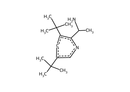 CC(N)c1ncc(C(C)(C)C)cc1C(C)(C)C